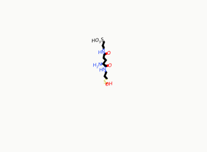 NC(CCC(=O)NCCCS(=O)(=O)O)C(=O)NCCCSO